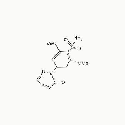 COc1cc(-n2ncccc2=O)cc(OC)c1S(N)(=O)=O